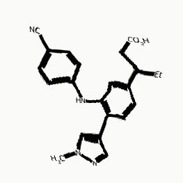 CCC(CC(=O)O)c1ccc(-c2cnn(C)c2)c(Nc2ccc(C#N)cc2)c1